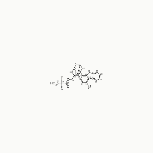 CCc1ccc(C23CC4CC(CC(COC(=O)C(F)(F)S(=O)(=O)O)(C4)C2)C3)c2c1-c1ccccc1C2